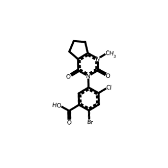 Cn1c2c(c(=O)n(-c3cc(C(=O)O)c(Br)cc3Cl)c1=O)CCC2